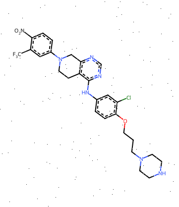 O=[N+]([O-])c1ccc(N2CCc3c(ncnc3Nc3ccc(OCCCN4CCNCC4)c(Cl)c3)C2)cc1C(F)(F)F